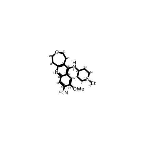 CCN1CCC(Nc2c3c(nc4cc(C#N)c(OC)cc24)CCOCC3)CC1